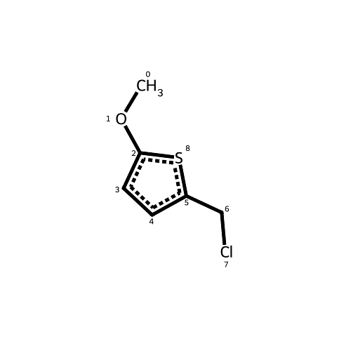 COc1ccc(CCl)s1